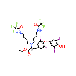 CCOC(=O)[C@H](Cc1cc(I)c(Oc2cc(I)c(O)c(I)c2)c(I)c1)N(CCCCNC(=O)C(F)(F)F)CCCCNC(=O)C(F)(F)F